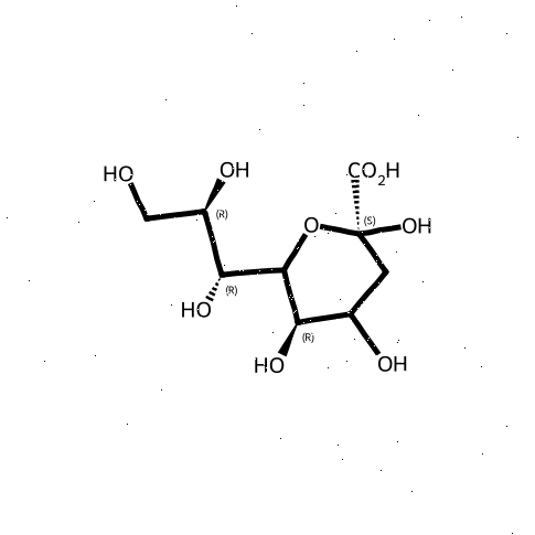 O=C(O)[C@]1(O)CC(O)[C@@H](O)C([C@H](O)[C@H](O)CO)O1